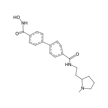 CN1CCCC1CCNC(=O)c1ccc(-c2ccc(C(=O)NO)cc2)cc1